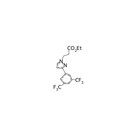 CCOC(=O)CCn1ccc(-c2cc(C(F)(F)F)cc(C(F)(F)F)c2)n1